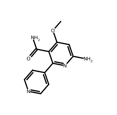 COc1cc(N)nc(-c2[c]cncc2)c1C(N)=O